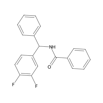 O=C(NC(c1ccccc1)c1ccc(F)c(F)c1)c1ccccc1